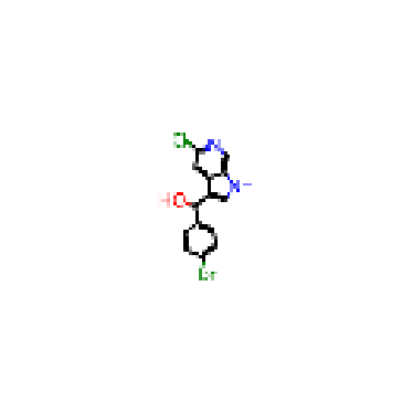 OC(c1ccc(Br)cc1)c1c[nH]c2cnc(Cl)cc12